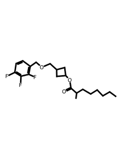 CCCCCCC(C)C(=O)OC1CC(COCc2ccc(F)c(F)c2F)C1